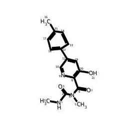 CNC(=O)N(C)C(=O)c1ncc(-c2ccc(C)cc2)cc1O